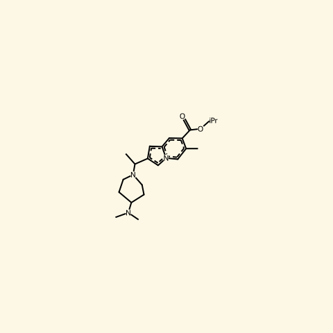 Cc1cn2cc(C(C)N3CCC(N(C)C)CC3)cc2cc1C(=O)OC(C)C